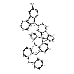 N#Cc1ccc2c(c1)c1ccccc1n2-c1cnc2c(c1)C1(c3ccccc3Oc3c(N4c5ccccc5Oc5ccccc54)cccc31)c1cccnc1-2